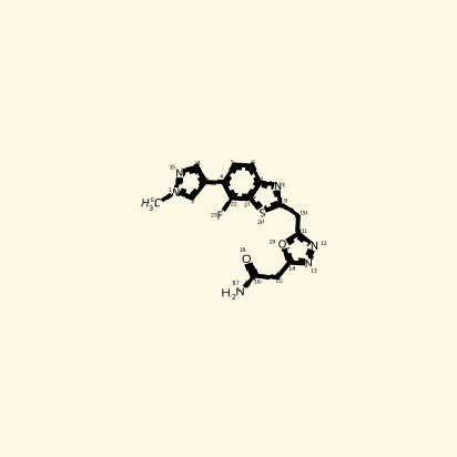 Cn1cc(-c2ccc3nc(Cc4nnc(CC(N)=O)o4)sc3c2F)cn1